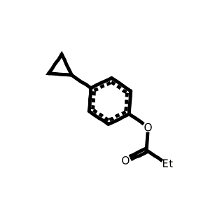 CCC(=O)Oc1ccc(C2CC2)cc1